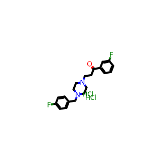 Cl.Cl.O=C(CCN1CCN(Cc2ccc(F)cc2)CC1)c1cccc(F)c1